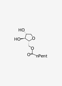 CCCCCC(=O)OC[C@H]1OC[C@@H](O)[C@@H]1O